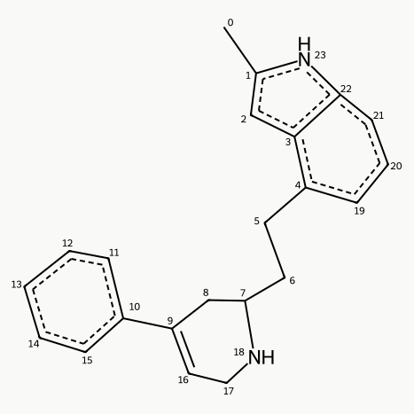 Cc1cc2c(CCC3CC(c4ccccc4)=CCN3)cccc2[nH]1